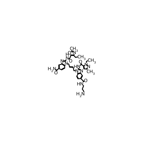 CCc1nc(C)oc1C(=O)Nc1nc2cc(C(N)=O)ccc2n1CC=CCn1c(NC(=O)c2cc(C)nn2CC)nc2cc(C(=O)NCCCN)ccc21